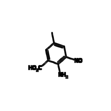 Cc1cc(N=O)c(N)c(C(=O)O)c1